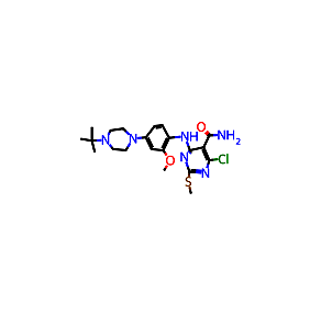 COc1cc(N2CCN(C(C)(C)C)CC2)ccc1Nc1nc(SC)nc(Cl)c1C(N)=O